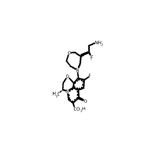 C[C@H]1COc2c(N3CCOC/C(=C(/F)CN)C3)c(F)cc3c(=O)c(C(=O)O)cn1c23